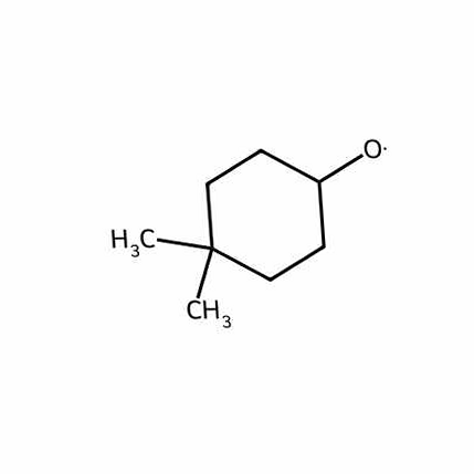 CC1(C)CCC([O])CC1